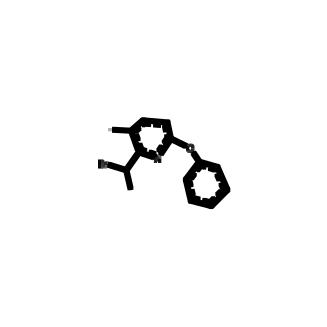 [CH2]c1ccc(Oc2ccccc2)nc1C(C)Br